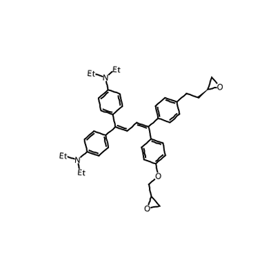 CCN(CC)c1ccc(C(=CC=C(c2ccc(CC[C@H]3CO3)cc2)c2ccc(OCC3CO3)cc2)c2ccc(N(CC)CC)cc2)cc1